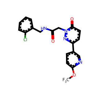 O=C(Cn1nc(-c2ccc(OC(F)(F)F)nc2)ccc1=O)NCc1ccccc1Cl